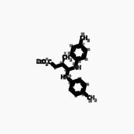 CCOC(=O)C[C@H](C)C(Nc1ccc(C)cc1)Nc1ccc(C)cc1